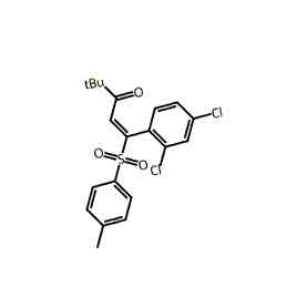 Cc1ccc(S(=O)(=O)C(=CC(=O)C(C)(C)C)c2ccc(Cl)cc2Cl)cc1